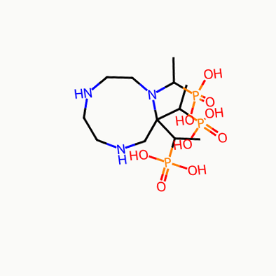 CC(N1CCNCCNCC1(C(C)P(=O)(O)O)C(C)P(=O)(O)O)P(=O)(O)O